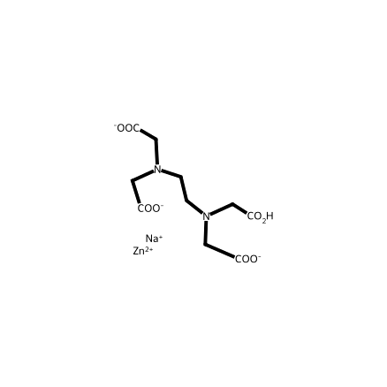 O=C([O-])CN(CCN(CC(=O)[O-])CC(=O)O)CC(=O)[O-].[Na+].[Zn+2]